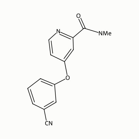 CNC(=O)c1cc(Oc2cccc(C#N)c2)ccn1